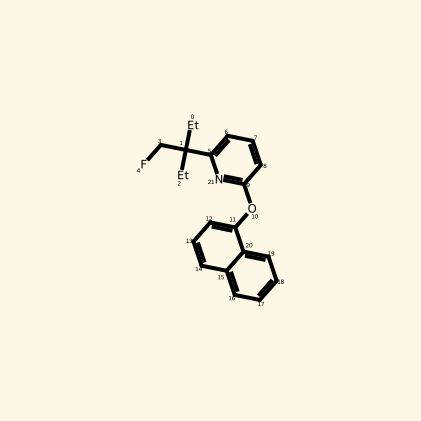 CCC(CC)(CF)c1cccc(Oc2cccc3ccccc23)n1